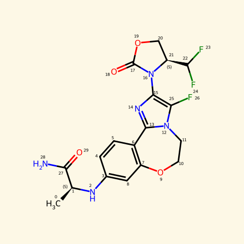 C[C@H](Nc1ccc2c(c1)OCCn1c-2nc(N2C(=O)OC[C@H]2C(F)F)c1F)C(N)=O